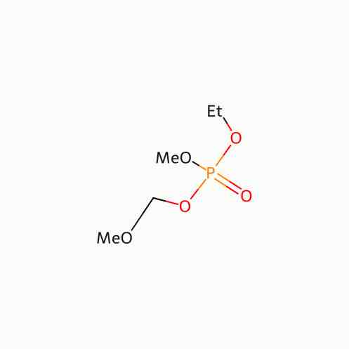 CCOP(=O)(OC)OCOC